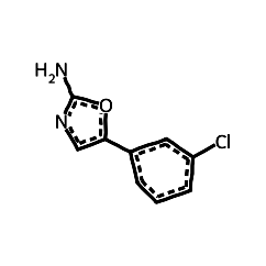 Nc1ncc(-c2cccc(Cl)c2)o1